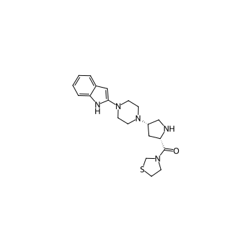 O=C([C@@H]1C[C@H](N2CCN(c3cc4ccccc4[nH]3)CC2)CN1)N1CCSC1